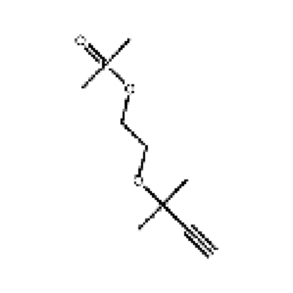 C#CC(C)(C)OCCOP(C)(C)=O